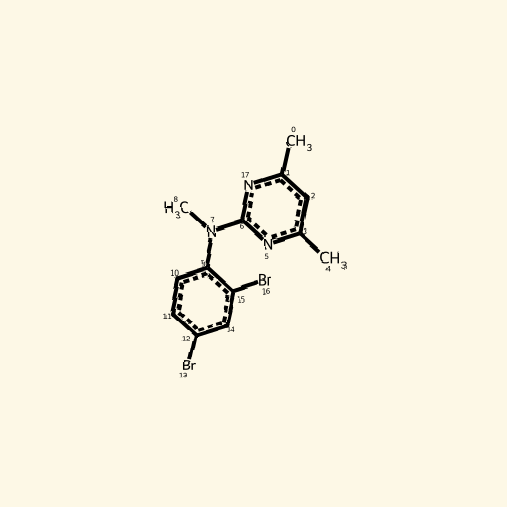 Cc1cc(C)nc(N(C)c2ccc(Br)cc2Br)n1